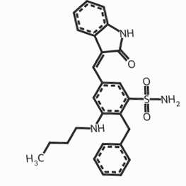 CCCCNc1cc(C=C2C(=O)Nc3ccccc32)cc(S(N)(=O)=O)c1Cc1ccccc1